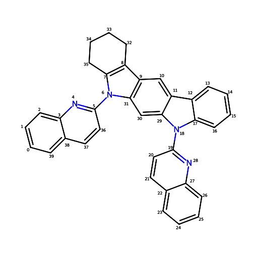 c1ccc2nc(-n3c4c(c5cc6c7ccccc7n(-c7ccc8ccccc8n7)c6cc53)CCCC4)ccc2c1